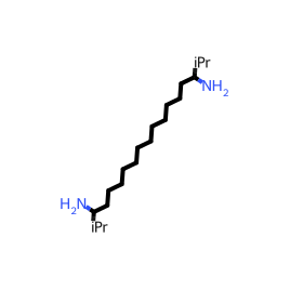 CC(C)C(N)CCCCCCCCCCCCC(N)C(C)C